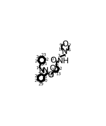 O=C(NCCN1CCOCC1)c1ccc(Oc2nn(Cc3ccccc3)c3ccccc23)o1